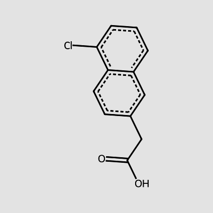 O=C(O)Cc1ccc2c(Cl)cccc2c1